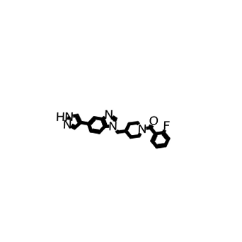 O=C(c1ccccc1F)N1CCC(Cn2cnc3cc(-c4cn[nH]c4)ccc32)CC1